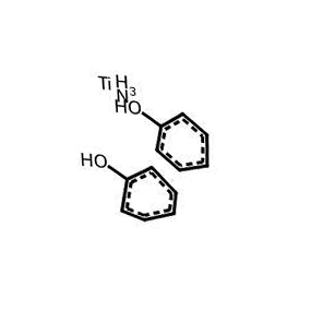 N.Oc1ccccc1.Oc1ccccc1.[Ti]